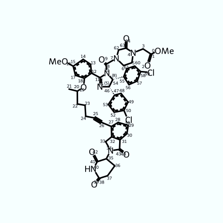 COC(=O)CN1CCN(C(=O)N2C(c3ccc(OC)cc3OC(C)CCCC#Cc3cccc4c3CN(C3CCC(=O)NC3=O)C4=O)=N[C@@H](c3ccc(Cl)cc3)[C@H]2c2ccc(Cl)cc2)CC1=O